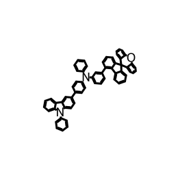 c1ccc(N(c2ccc(-c3ccc4c(c3)c3ccccc3n4-c3ccccc3)cc2)c2cccc(-c3cccc4c3-c3ccccc3C43c4ccccc4Oc4ccccc43)c2)cc1